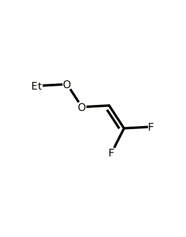 CCOOC=C(F)F